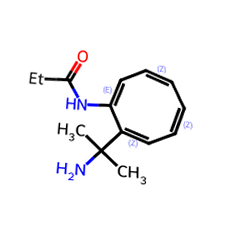 CCC(=O)NC1=C/C=C\C=C/C=C\1C(C)(C)N